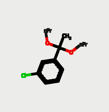 CCCO[Si](C)(OCCC)c1cccc(Cl)c1